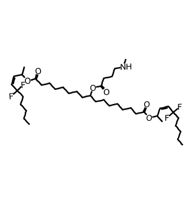 CCCCCC(F)(F)/C=C\C(C)OC(=O)CCCCCCCC(CCCCCCCC(=O)OC(C)/C=C\C(F)(F)CCCCC)OC(=O)CCCNC